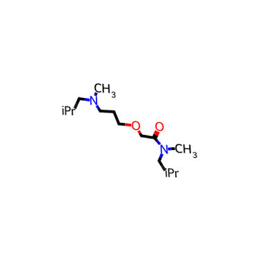 CC(C)CN(C)CCCOCC(=O)N(C)CC(C)C